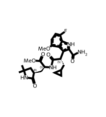 COC(=O)[C@H](C[C@@H]1CC(C)(C)NC1=O)NC(=O)[C@@H](CC1CC1)c1c(C(N)=O)[nH]c2c(F)ccc(OC)c12